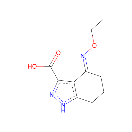 CCON=C1CCCc2[nH]nc(C(=O)O)c21